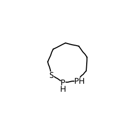 C1CCCSPPCC1